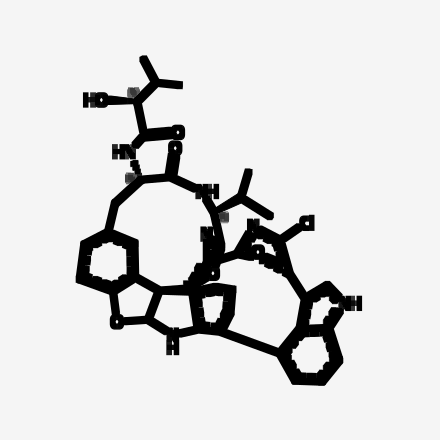 CC(C)[C@H](O)C(=O)N[C@H]1Cc2ccc3c(c2)C24c5cccc(c5NC2O3)-c2cccc3[nH]cc(c23)-c2oc(nc2Cl)-c2nc(oc24)[C@H](C(C)C)NC1=O